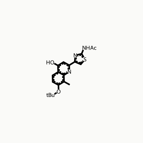 CC(=O)Nc1nc(-c2cc(O)c3ccc(OC(C)(C)C)c(C)c3n2)cs1